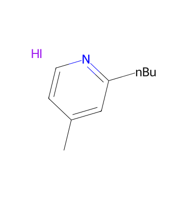 CCCCc1cc(C)ccn1.I